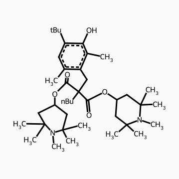 CCCCC(Cc1c(C)cc(C(C)(C)C)c(O)c1C)(C(=O)OC1CC(C)(C)N(C)C(C)(C)C1)C(=O)OC1CC(C)(C)N(C)C(C)(C)C1